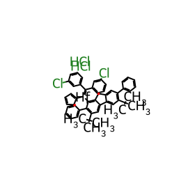 CC(C)(C)c1cc2c(cc1-c1ccccc1)Cc1c-2cc(C(C)(C)C)c(-c2ccccc2)[c]1[Hf]([C]1=CC=CC1)=[C](c1cccc(Cl)c1)c1cccc(Cl)c1.Cl.Cl